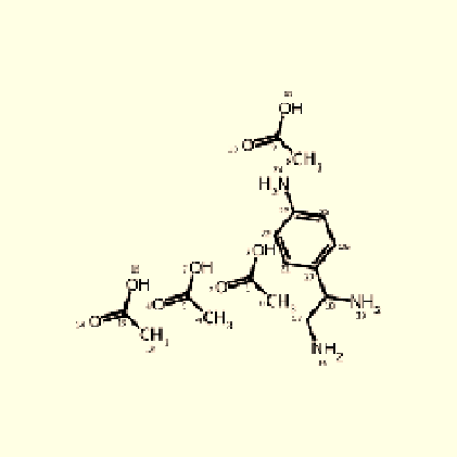 CC(=O)O.CC(=O)O.CC(=O)O.CC(=O)O.NCC(N)c1ccc(N)cc1